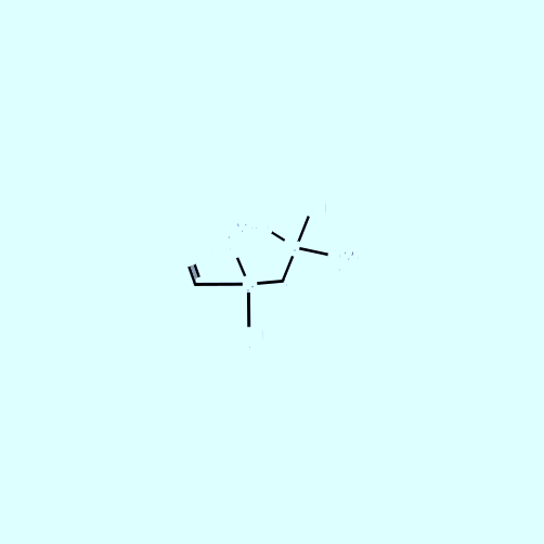 C=C[Si](C)(C)C[Si](C)(OC)OC